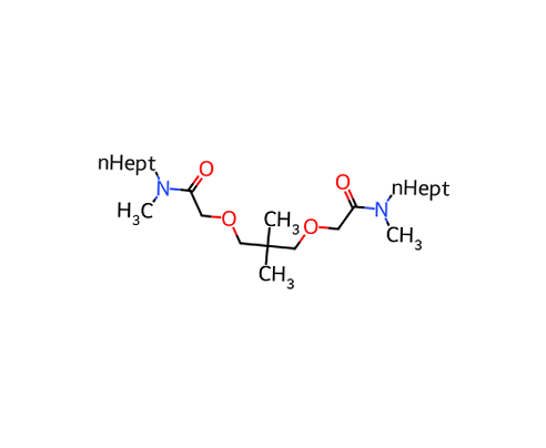 CCCCCCCN(C)C(=O)COCC(C)(C)COCC(=O)N(C)CCCCCCC